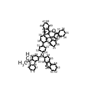 CC1(C)c2ccccc2-c2cc(N(c3ccc(-c4cccc5c4-c4ccccc4C54c5ccc6ccccc6c5Oc5c4ccc4ccccc54)cc3)c3ccc4c(c3)sc3ccccc34)ccc21